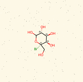 OC[C@@]1(Br)OC(O)[C@H](O)[C@@H](O)[C@H]1O